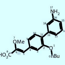 CCCCOc1cc(/C=C(\OC)C(=O)O)ccc1-c1cccc(N)c1